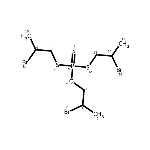 CC(Br)COP(=S)(SCC(C)Br)SCC(C)Br